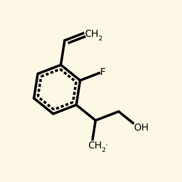 [CH2]C(CO)c1cccc(C=C)c1F